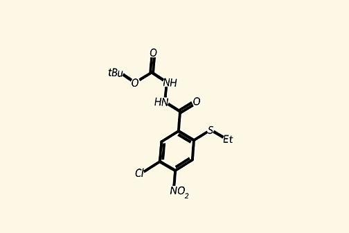 CCSc1cc([N+](=O)[O-])c(Cl)cc1C(=O)NNC(=O)OC(C)(C)C